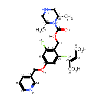 C[C@@H]1CNC[C@H](C)N1C(=O)OCc1c(F)cc(OCc2cccnc2)cc1F.O=C(O)C=CC(=O)O